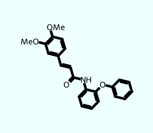 COc1ccc(/C=C/C(=O)Nc2ccccc2Oc2ccccc2)cc1OC